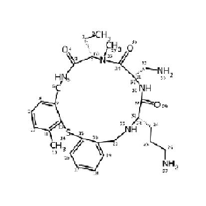 CC[C@H]1C(=O)NCc2cccc(C)c2Sc2ccccc2CN[C@@H](CCCN)C(=O)N[C@@H](CN)C(=O)N1C